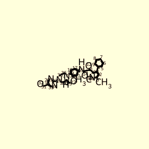 Cc1cc(-c2ccccc2)c(C(=O)C(=O)Nc2ccc3c(c2)OC[C@H]2CN(c4ncc(C=O)cn4)CCN32)n1C